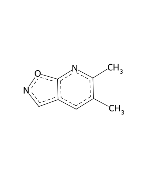 Cc1cc2cnoc2nc1C